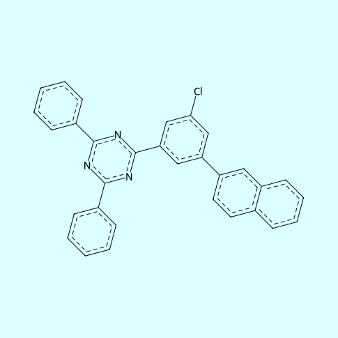 Clc1cc(-c2ccc3ccccc3c2)cc(-c2nc(-c3ccccc3)nc(-c3ccccc3)n2)c1